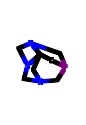 C1N2CP3CN4CN1C4(C2)C3